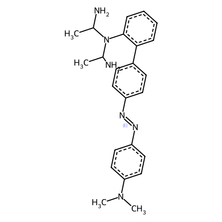 CC(N)N(c1ccccc1-c1ccc(/N=N/c2ccc(N(C)C)cc2)cc1)C(C)N